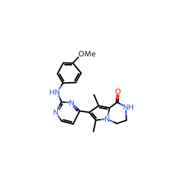 COc1ccc(Nc2nccc(-c3c(C)c4n(c3C)CCNC4=O)n2)cc1